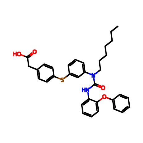 CCCCCCCN(C(=O)Nc1ccccc1Oc1ccccc1)c1cccc(Sc2ccc(CC(=O)O)cc2)c1